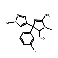 CCn1cc(C2(c3cccc(Br)c3)N=C(N)N(C)C2C=O)cn1